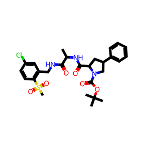 CC(NC(=O)C1CC(c2ccccc2)CN1C(=O)OC(C)(C)C)C(=O)NCc1cc(Cl)ccc1S(C)(=O)=O